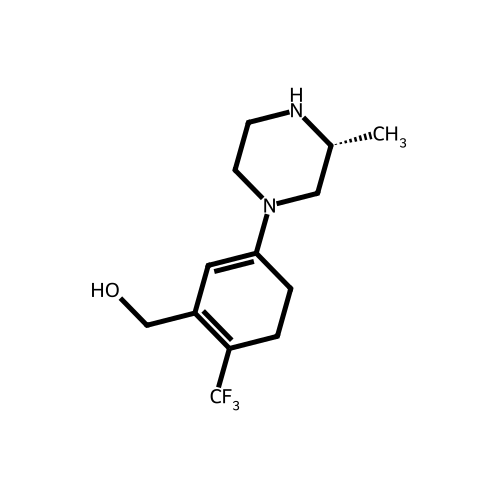 C[C@@H]1CN(C2=CC(CO)=C(C(F)(F)F)CC2)CCN1